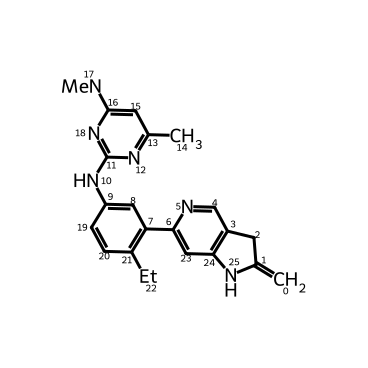 C=C1Cc2cnc(-c3cc(Nc4nc(C)cc(NC)n4)ccc3CC)cc2N1